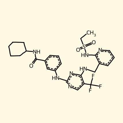 CCS(=O)(=O)Nc1ncccc1CNc1nc(Nc2cccc(C(=O)NC3CCCCC3)c2)ncc1C(F)(F)F